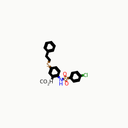 O=C(O)c1cc(SCCc2ccccc2)ccc1NS(=O)(=O)c1ccc(Cl)cc1